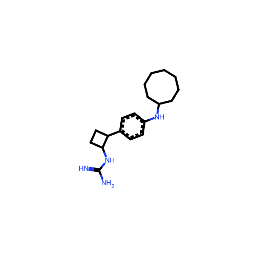 N=C(N)NC1CCC1c1ccc(NC2CCCCCCC2)cc1